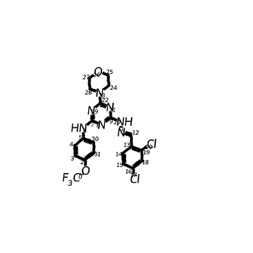 FC(F)(F)Oc1ccc(Nc2nc(N/N=C/c3ccc(Cl)cc3Cl)nc(N3CCOCC3)n2)cc1